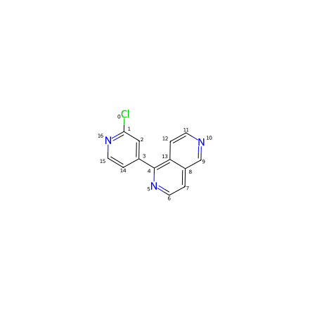 Clc1cc(-c2nccc3cnccc23)ccn1